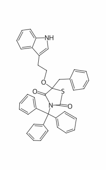 O=C1SC(Cc2ccccc2)(OCCc2c[nH]c3ccccc23)C(=O)N1C(c1ccccc1)(c1ccccc1)c1ccccc1